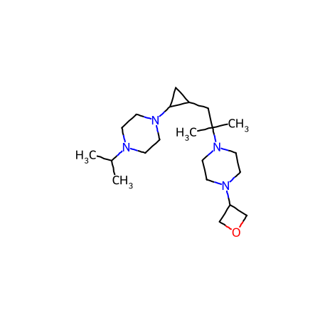 CC(C)N1CCN(C2CC2CC(C)(C)N2CCN(C3COC3)CC2)CC1